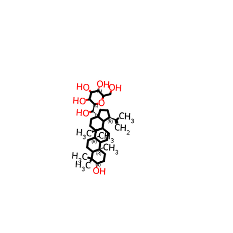 C=C(C)[C@@H]1CC[C@]2(C(O)[C@@H]3OC(CO)[C@@H](O)C(O)C3O)CC[C@]3(C)C(CCC4[C@@]5(C)CC[C@H](O)C(C)(C)C5CC[C@]43C)C12